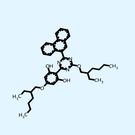 CCCCC(CC)COc1cc(O)c(-c2nc(OCC(CC)CCCC)nc(-c3cc4ccccc4c4ccccc34)n2)c(O)c1